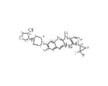 Cc1cc2cnc(Nc3cnn(C4CC4(F)F)c3Cl)nc2cc1N1CCN(C2COCC2O)CC1